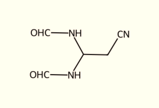 N#CCC(NC=O)NC=O